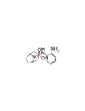 Nc1ccccc1NC1CC2CCC(C1)N2C(=O)O